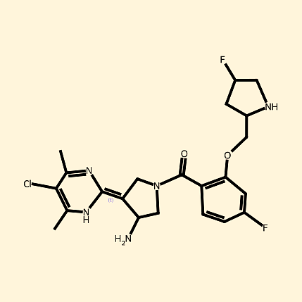 CC1=N/C(=C2\CN(C(=O)c3ccc(F)cc3OCC3CC(F)CN3)CC2N)NC(C)=C1Cl